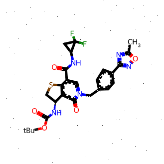 Cc1nc(-c2ccc(Cn3cc(C(=O)NC4CC4(F)F)c4c(c3=O)[C@@H](NC(=O)OC(C)(C)C)CS4)cc2)no1